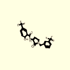 O=C(NC1CCN(Cc2cccc(C(F)(F)F)c2)C1=O)c1cc(C(F)(F)F)ccc1O